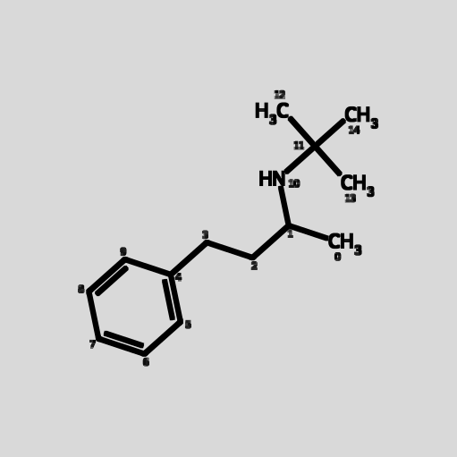 CC(CCc1ccccc1)NC(C)(C)C